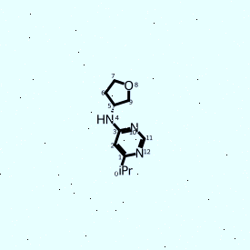 CC(C)c1cc(N[C@@H]2CCOC2)ncn1